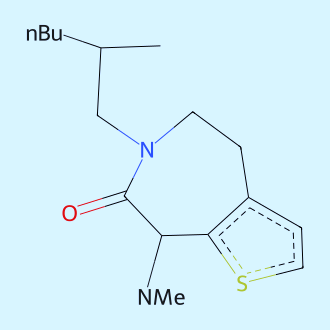 CCCCC(C)CN1CCc2ccsc2C(NC)C1=O